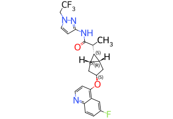 CC(C(=O)Nc1ccn(CC(F)(F)F)n1)[C@@H]1[C@@H]2C[C@@H](Oc3ccnc4ccc(F)cc34)C[C@@H]21